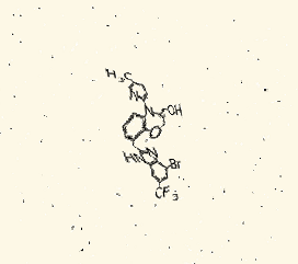 Cc1ccc(N2c3cccc(-c4nc5c(Br)cc(C(F)(F)F)cc5[nH]4)c3OC[C@@H]2CO)nc1